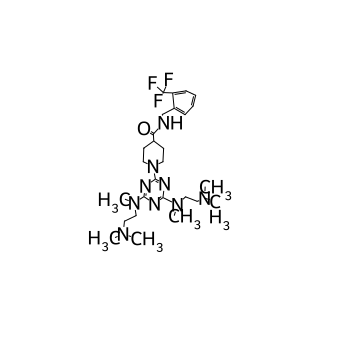 CN(C)CCN(C)c1nc(N(C)CCN(C)C)nc(N2CCC(C(=O)NCc3ccccc3C(F)(F)F)CC2)n1